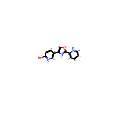 Brc1ccc(-c2coc(-c3ccccn3)n2)cn1